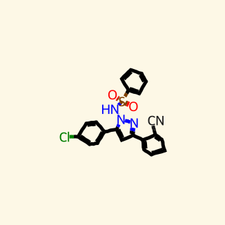 N#Cc1ccccc1-c1cc(-c2ccc(Cl)cc2)n(NS(=O)(=O)c2ccccc2)n1